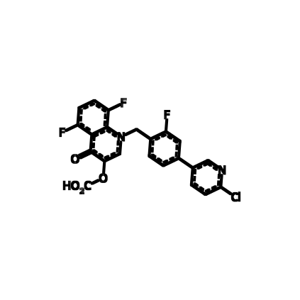 O=C(O)Oc1cn(Cc2ccc(-c3ccc(Cl)nc3)cc2F)c2c(F)ccc(F)c2c1=O